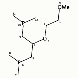 COCCOC(CP(C)C)CP(C)C